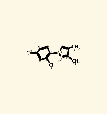 Cc1cn(-c2ccc(Cl)cc2Cl)nc1C